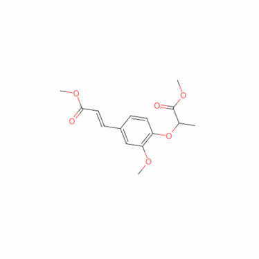 COC(=O)C=Cc1ccc(OC(C)C(=O)OC)c(OC)c1